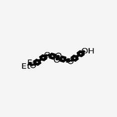 CCC(CC)Oc1ccc(-c2ccc(Oc3ccc(S(=O)(=O)c4ccc(C(C)(C)Oc5ccc(-c6ccc(O)cc6)cc5)cc4)cc3)cc2)cc1